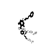 Cc1cc(OCCCCc2ccccc2)cc(C)c1C(=O)Nc1cccc2c1OC(C(=O)O)CN2CCCC(=O)O